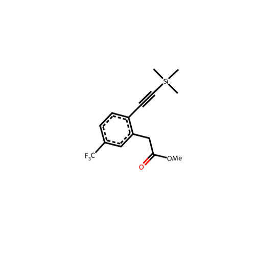 COC(=O)Cc1cc(C(F)(F)F)ccc1C#C[Si](C)(C)C